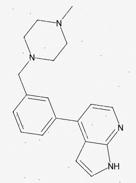 CN1CCN(Cc2cccc(-c3ccnc4[nH]ccc34)c2)CC1